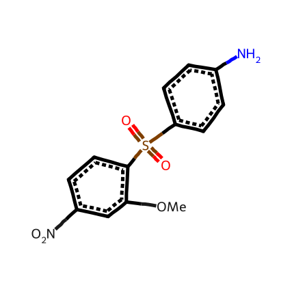 COc1cc([N+](=O)[O-])ccc1S(=O)(=O)c1ccc(N)cc1